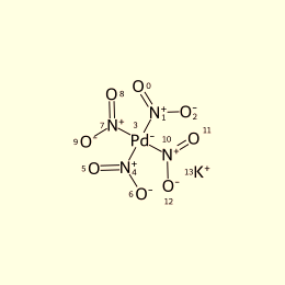 O=[N+]([O-])[Pd-]([N+](=O)[O-])([N+](=O)[O-])[N+](=O)[O-].[K+]